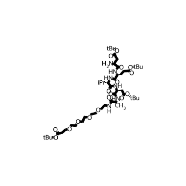 CC(C)[C@H](NC(=O)[C@H](CCC(=O)OC(C)(C)C)NC(=O)[C@@H](N)CC(=O)OC(C)(C)C)C(=O)N[C@@H](CC(=O)OC(C)(C)C)C(=O)N[C@@H](C)C(=O)NCCOCCOCCOCCOCCC(=O)OC(C)(C)C